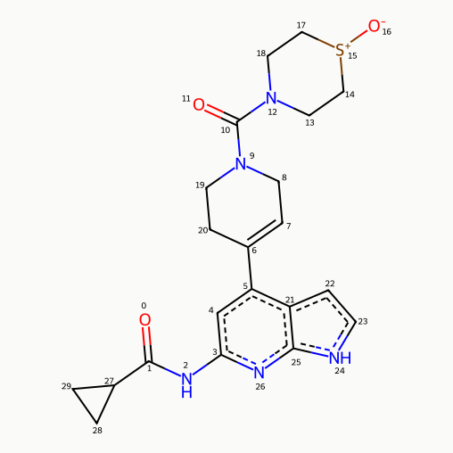 O=C(Nc1cc(C2=CCN(C(=O)N3CC[S+]([O-])CC3)CC2)c2cc[nH]c2n1)C1CC1